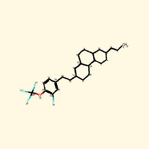 CCCC1CCC2C(CCC3CC(CCc4ccc(OC(F)(F)F)c(F)c4)CCC32)C1